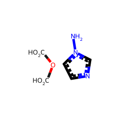 Nn1ccnc1.O=C(O)OC(=O)O